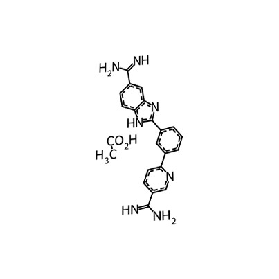 CC(=O)O.N=C(N)c1ccc(-c2cccc(-c3nc4cc(C(=N)N)ccc4[nH]3)c2)nc1